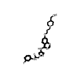 O=C(Cn1cc(Nc2ncnc3cc(OCCCN4CCC(CO)CC4)ccc23)cn1)Nc1cccc(F)c1